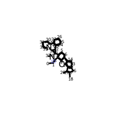 C/C=C1/c2c(ccc3c2oc2c4c(ccc23)CC(C)=C4C)C2(C3c4ccccc4-c4cccc[n+]4C32)N1C